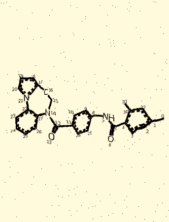 Cc1ccc(C(=O)Nc2ccc(C(=O)N3CCc4cccn4-c4ccccc43)cc2)c(C)c1